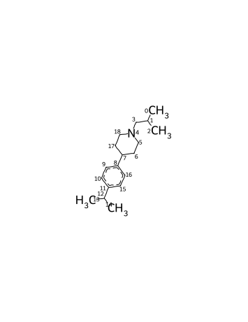 CC(C)CN1CCC(c2ccc(C(C)C)cc2)CC1